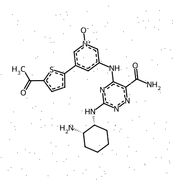 CC(=O)c1ccc(-c2cc(Nc3nc(N[C@@H]4CCCC[C@@H]4N)nnc3C(N)=O)c[n+]([O-])c2)s1